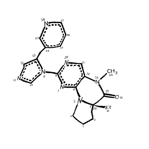 CC[C@@]12CCCN1c1nc(-n3cncc3-c3cccnc3)ncc1N(C)C2=O